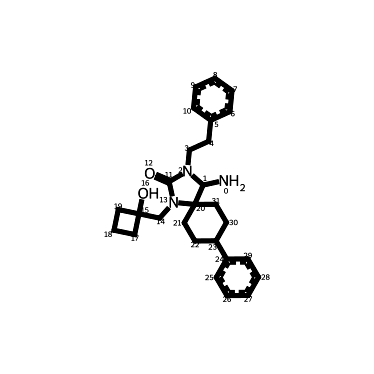 NC1N(CCc2ccccc2)C(=O)N(CC2(O)CCC2)C12CCC(c1ccccc1)CC2